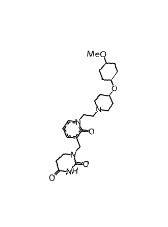 COC1CCC(OC2CCN(CCn3cccc(CN4CCC(=O)NC4=O)c3=O)CC2)CC1